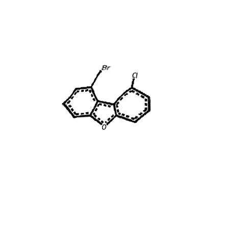 Clc1cccc2oc3cccc(Br)c3c12